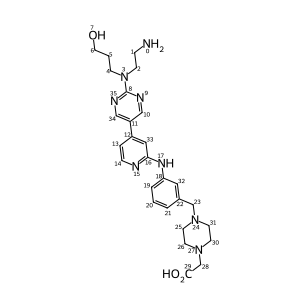 NCCN(CCCO)c1ncc(-c2ccnc(Nc3cccc(CN4CCN(CC(=O)O)CC4)c3)c2)cn1